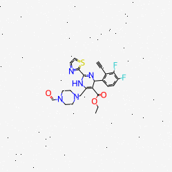 C#Cc1c(C2N=C(c3nccs3)NC(CN3CCN(C=O)CC3)=C2C(=O)OCC)ccc(F)c1F